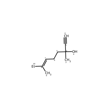 C#CC(C)(O)CCC=C(C)CC